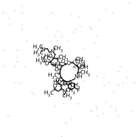 CC[C@H]1OC(=O)[C@H](C)[C@@H](O[C@H]2C[C@@](C)(OC)[C@](O)(CN(C)CCN(C)C)[C@H](C)O2)[C@H](C)[C@@H](O[C@@H]2O[C@H](C)C[C@H](N(C)C)[C@H]2Oc2ccc(F)cc2)[C@](C)(O)C[C@@H](C)CN[C@H](C)[C@@H](O)[C@]1(C)O